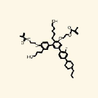 C=C(C)C(=O)OCCOc1ccc(-c2cc(-c3ccc(C4CCC(CCC)CC4)cc3F)cc(OCCOC(=O)C(=C)C)c2CCCCCO)cc1CCCO